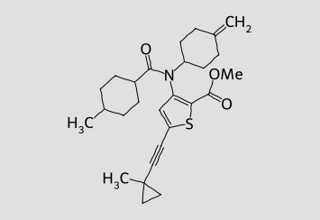 C=C1CCC(N(C(=O)C2CCC(C)CC2)c2cc(C#CC3(C)CC3)sc2C(=O)OC)CC1